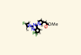 COC(=O)CC1CCN(c2nc(N3C[C@H](F)[C@@H]3C)nc3c2CCC3(F)F)C1